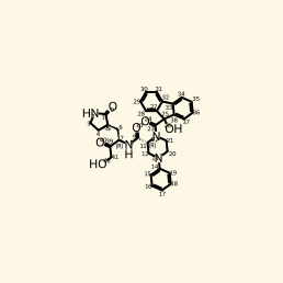 O=C1NCC[C@@H]1C[C@@H](NC(=O)[C@H]1CN(c2ccccc2)CCN1C(=O)C1(O)c2ccccc2-c2ccccc21)C(=O)CO